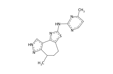 Cc1ccnc(Nc2nc3c(s2)CCC(C)c2n[nH]cc2-3)n1